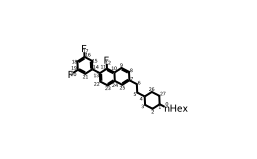 CCCCCCC1CCC(CCc2ccc3c(F)c(-c4cc(F)cc(F)c4)ccc3c2)CC1